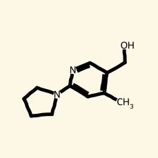 Cc1cc(N2CCCC2)ncc1CO